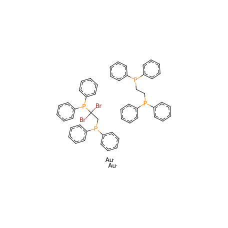 BrC(Br)(CP(c1ccccc1)c1ccccc1)P(c1ccccc1)c1ccccc1.[Au].[Au].c1ccc(P(CCP(c2ccccc2)c2ccccc2)c2ccccc2)cc1